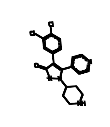 O=C1[N]N(C2CCNCC2)C(c2ccncc2)=C1c1ccc(Cl)c(Cl)c1